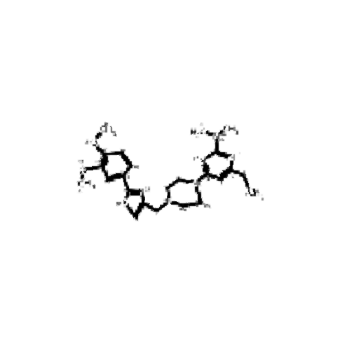 CCc1cc(N2CCN(Cc3csc(-c4ccc(OC)c(OC)c4)n3)CC2)nc(N(C)C)n1